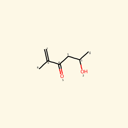 [CH2]C(O)CC(=O)C(=C)C